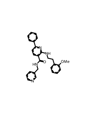 COc1ccccc1CCNc1nc(-c2ccccc2)ccc1C(=O)NCc1cccnc1